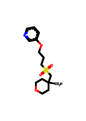 O=C(O)C1(CS(=O)(=O)CCCOc2cccnc2)CCOCC1